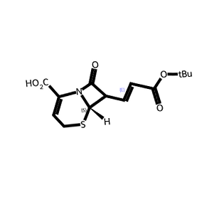 CC(C)(C)OC(=O)/C=C/C1C(=O)N2C(C(=O)O)=CCS[C@@H]12